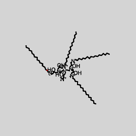 CCCCCCCCCCCCCCCCCC[N+](C)(C)CC(O)CN(CCN(CCN(CC(O)C[N+](C)(C)CCCCCCCCCCCCCCCCCC)CC(O)C[N+](C)(C)CCCCCCCCCCCCCCCCCC)CC(O)C[N+](C)(C)C)CC(O)C[N+](C)(C)CCCCCCCCCCCCCCCCCC